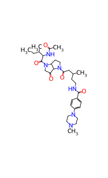 CCC(C)C(NC(C)=O)C(=O)N1CC(=O)C2C1CCN2C(=O)CC(C)CCNC(=O)c1ccc(N2CCN(C)CC2)cc1